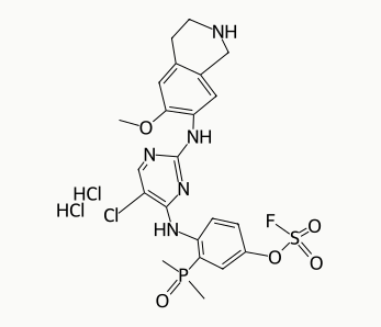 COc1cc2c(cc1Nc1ncc(Cl)c(Nc3ccc(OS(=O)(=O)F)cc3P(C)(C)=O)n1)CNCC2.Cl.Cl